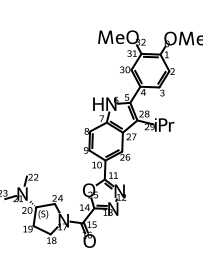 COc1ccc(-c2[nH]c3ccc(-c4nnc(C(=O)N5CC[C@H](N(C)C)C5)o4)cc3c2C(C)C)cc1OC